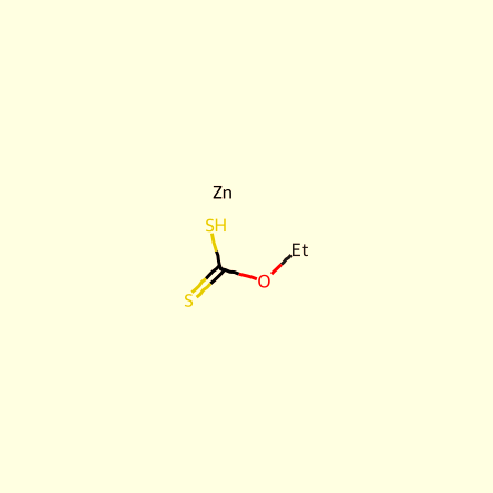 CCOC(=S)S.[Zn]